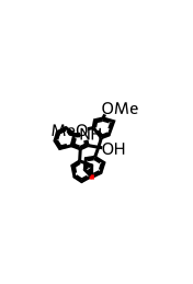 COc1ccc(C(O)(c2ccccc2)c2[nH]c3ccccc3c2-c2ccccc2)c(OC)c1